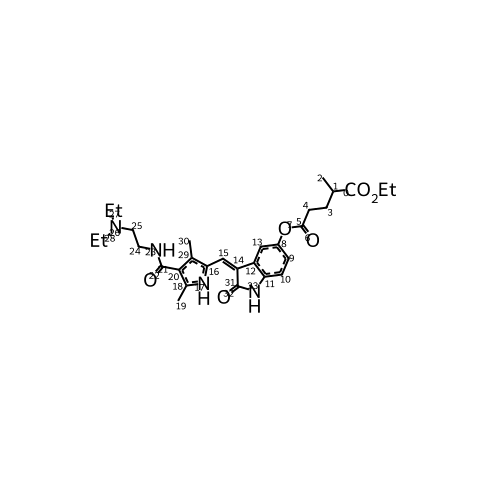 CCOC(=O)C(C)CCC(=O)Oc1ccc2c(c1)/C(=C/c1[nH]c(C)c(C(=O)NCCN(CC)CC)c1C)C(=O)N2